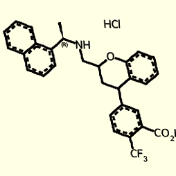 C[C@@H](NCC1CC(c2ccc(C(F)(F)F)c(C(=O)O)c2)c2ccccc2O1)c1cccc2ccccc12.Cl